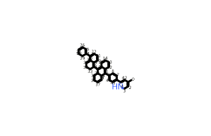 CC1=CCNC(c2ccc(C3=c4ccccc4=C(C4=c5cccc(C6=CC=CCC6)c5=CCC4)C4C=CC=CC34)cc2)=C1